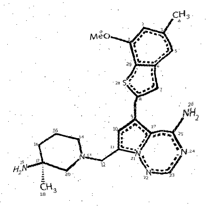 COc1cc(C)cc2cc(-c3cc(CN4CCC[C@](C)(N)C4)n4ncnc(N)c34)sc12